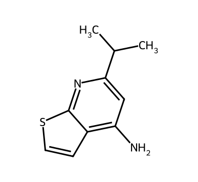 CC(C)c1cc(N)c2ccsc2n1